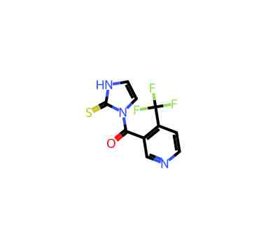 O=C(c1cnccc1C(F)(F)F)n1cc[nH]c1=S